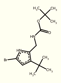 CC(C)(C)OC(=O)NCc1[nH]c(Br)cc1C(C)(C)C